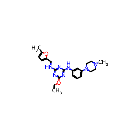 CCOc1nc(NCc2ccc(C)o2)nc(Nc2cccc(N3CCN(C)CC3)c2)n1